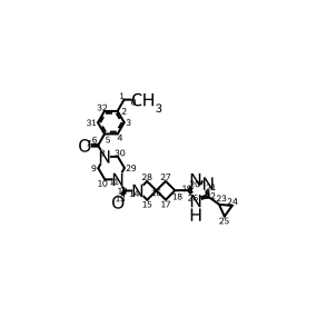 CCc1ccc(C(=O)N2CCN(C(=O)N3CC4(CC(c5nnc(C6CC6)[nH]5)C4)C3)CC2)cc1